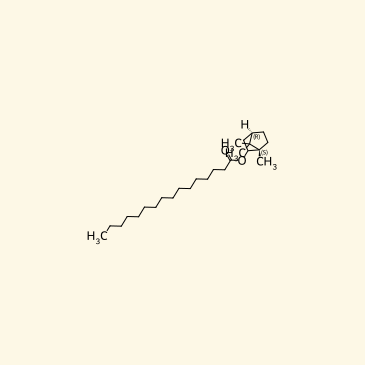 CCCCCCCCCCCCCCCC(=O)OC1C[C@H]2CC[C@@]1(C)C2(C)C